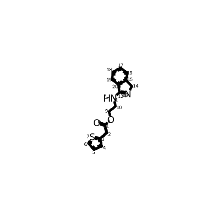 O=C(Cc1cccs1)OCCNC1=NCc2ccccc21